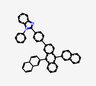 C1=CC2C=CC(c3c4ccccc4c(-c4ccc5ccccc5c4)c4ccc(-c5ccc(-c6nc7ccccc7n6-c6ccccc6)cc5)cc34)=CC2C=C1